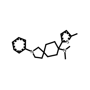 Cc1ccc(C2(N(C)C)CCC3(CCN(c4ccccc4)C3)CC2)s1